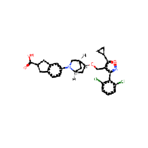 O=C(O)C1Cc2ccc(N3C[C@@H]4C[C@H]3C[C@H]4OCc3c(-c4c(Cl)cccc4Cl)noc3C3CC3)cc2C1